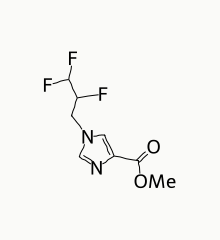 COC(=O)c1cn(CC(F)C(F)F)cn1